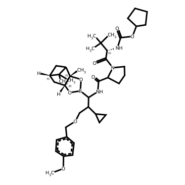 COc1ccc(COCC(C2CC2)C(NC(=O)C2CCCN2C(=O)[C@@H](NC(=O)OC2CCCC2)C(C)(C)C)B2O[C@@H]3C[C@@H]4CC(C4(C)C)[C@]3(C)O2)cc1